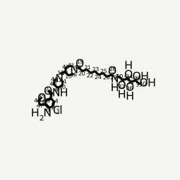 Nc1c(Cl)cc(C(=O)NC2CCN(CC3CCN(C(=O)CCCCCCCC(=O)NC[C@H](O)[C@@H](O)[C@H](O)[C@H](O)CO)CC3)CC2)c2c1CCO2